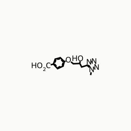 Cn1nnnc1CC(O)COc1ccc(C(=O)O)cc1